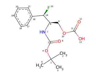 CC(C)(C)OC(=O)N[C@H](COC(=O)O)[C@H](F)c1ccccc1